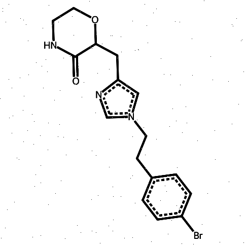 O=C1NCCOC1Cc1cn(CCc2ccc(Br)cc2)cn1